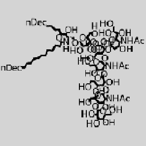 CCCCCCCCCCCCC/C=C/[C@@H](O)[C@H](CO[C@@H]1OC(CO)[C@@H](O[C@@H]2OC(CO)[C@H](O[C@@H]3OC(CO)[C@H](O)[C@H](O[C@@H]4OC(CO)[C@H](O)[C@H](O[C@@H]5OC(CO)[C@@H](O[C@@H]6OC(CO)[C@H](O)[C@H](O)C6O)[C@H](O)C5NC(C)=O)C4O)C3NC(C)=O)[C@H](O[C@]3(C(=O)O)CC(O)[C@@H](NC(C)=O)C([C@H](O)[C@H](O)CO)O3)C2O)[C@H](O)C1O)NC(=O)CCCCCCCCCCCCCCCCCCCCC